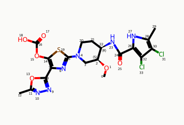 CO[C@H]1CN(c2nc(-c3nnc(C)o3)c(OC(=O)O)s2)CC[C@H]1NC(=O)c1[nH]c(C)c(Cl)c1Cl